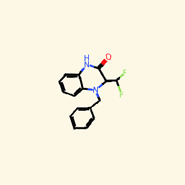 O=C1Nc2ccccc2N(Cc2ccccc2)C1C(F)F